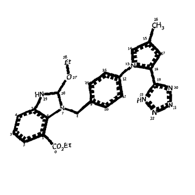 CCOC(=O)c1cccc2c1N(Cc1ccc(-n3cc(C)cc3-c3nnn[nH]3)cc1)C(OCC)N2